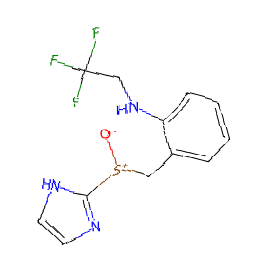 [O-][S+](Cc1ccccc1NCC(F)(F)F)c1ncc[nH]1